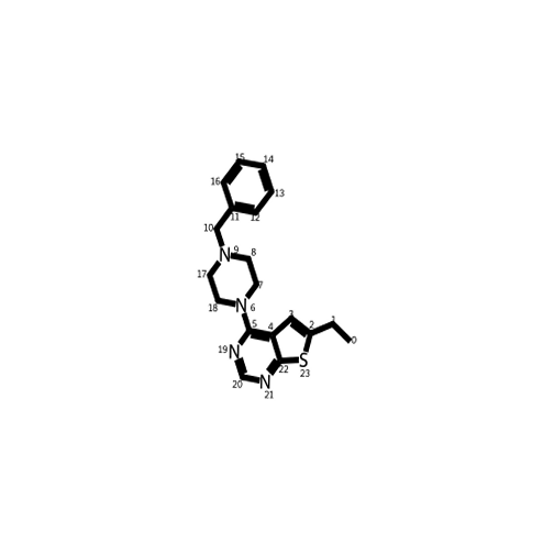 CCc1cc2c(N3CCN(Cc4ccccc4)CC3)ncnc2s1